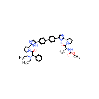 CCN(CC)[C@@H](C(=O)N1CCC[C@H]1c1ncc(-c2ccc(-c3ccc(-c4cnc([C@@H]5CCCN5C(=O)[C@H](C)NC(=O)OC)[nH]4)cc3)cc2)[nH]1)c1ccccc1